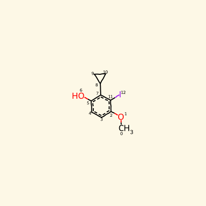 COc1ccc(O)c(C2CC2)c1I